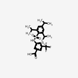 CC(C)c1cc(C(C)C)c(S(=O)(=O)Nc2cc(C(=O)O)cc(C(F)(F)F)c2)c(C(C)C)c1